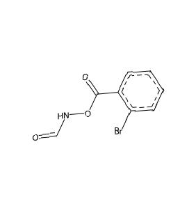 O=CNOC(=O)c1ccccc1Br